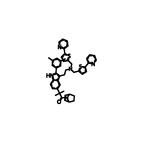 Cc1cc(C)cc(-c2[nH]c3ccc(C(C)(C)C(=O)N4C5CCC4CC5)cc3c2CCN(Cc2ccc(-c3ccccn3)s2)Cc2ccc(-c3ccccn3)s2)c1